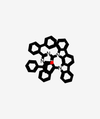 c1ccc(-c2ccc(-n3c4ccccc4c4ccc5c6ccccc6n(-c6nc(-c7ccccc7)nc(-c7ccccc7-c7ccccc7)n6)c5c43)cc2)cc1